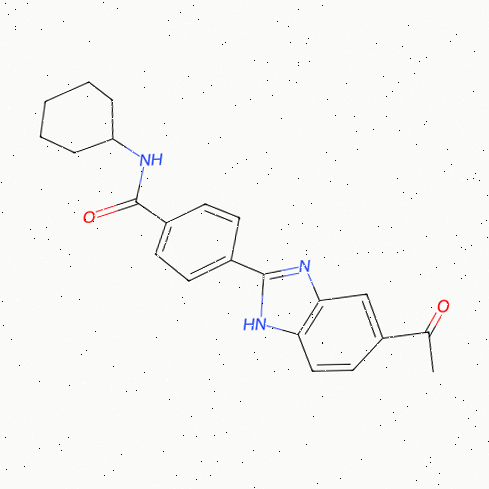 CC(=O)c1ccc2[nH]c(-c3ccc(C(=O)NC4CCCCC4)cc3)nc2c1